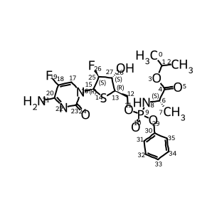 CC(C)OC(=O)[C@H](C)NP(=O)(OC[C@H]1S[C@@H](n2cc(F)c(N)nc2=O)[C@@H](F)[C@@H]1O)Oc1ccccc1